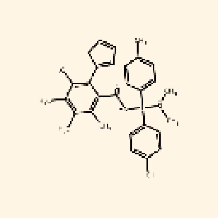 Cc1cc[c]([Ti]([NH]C(=O)c2c(C)c(C)c(C)c(C)c2C2=CC=CC2)([c]2ccc(C)cc2)[SiH](C)C)cc1